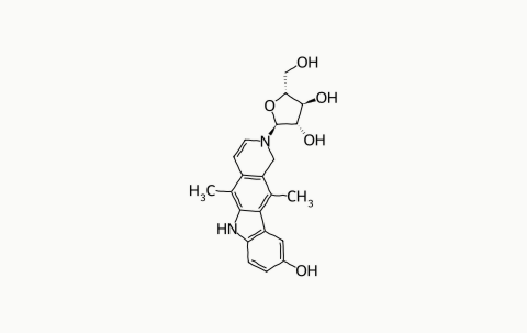 Cc1c2c(c(C)c3c1[nH]c1ccc(O)cc13)CN([C@H]1O[C@H](CO)[C@@H](O)[C@@H]1O)C=C2